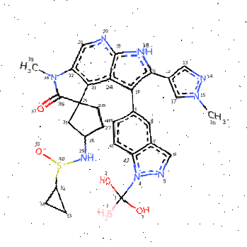 BC(O)(O)n1ncc2cc(-c3c(-c4cnn(C)c4)[nH]c4ncc5c(c34)C3(CCC(N[S+]([O-])C4CC4)C3)C(=O)N5C)ccc21